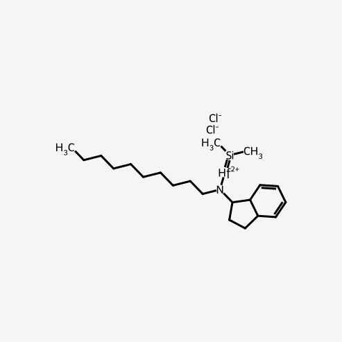 CCCCCCCCCC[N]([Hf+2]=[Si](C)C)C1CCC2C=CC=CC21.[Cl-].[Cl-]